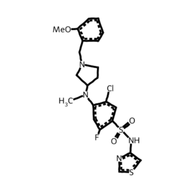 COc1ccccc1CN1CCC(N(C)c2cc(F)c(S(=O)(=O)Nc3cscn3)cc2Cl)C1